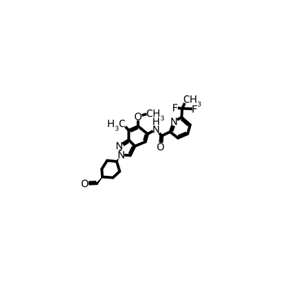 COc1c(NC(=O)c2cccc(C(C)(F)F)n2)cc2cn([C@H]3CC[C@H](C=O)CC3)nc2c1C